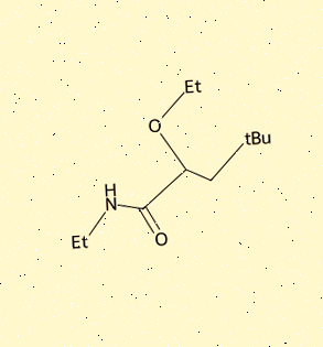 CCNC(=O)C(CC(C)(C)C)OCC